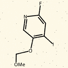 COCOc1cnc(F)cc1I